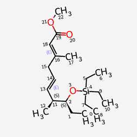 CC[C@H](O[Si](CC)(CC)CC)[C@@H](C)/C=C/C/C(C)=C/C(=O)OC